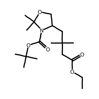 CCOC(=O)CC(C)(C)CC1COC(C)(C)N1C(=O)OC(C)(C)C